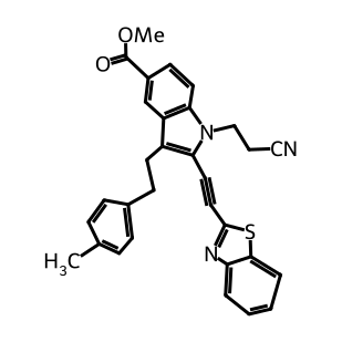 COC(=O)c1ccc2c(c1)c(CCc1ccc(C)cc1)c(C#Cc1nc3ccccc3s1)n2CCC#N